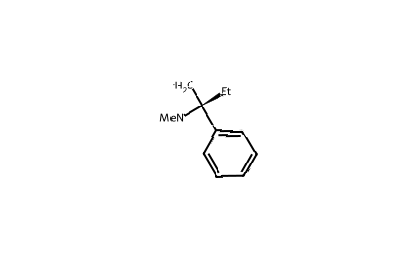 [CH2][C@@](CC)(NC)c1ccccc1